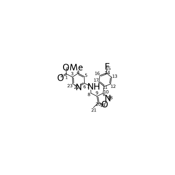 COC(=O)c1ccc(NCc2c(-c3ccc(F)cc3)noc2C)nc1